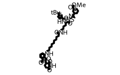 COC(=O)N1CCCC(c2csc(NC(=O)C(CCCCNC(=O)CCCCCCCCCCNc3cccc4c3C(=O)N(C3CCC(=O)NC3=O)C4=O)NC(=O)c3ccn(C(C)(C)C)c3)n2)C1